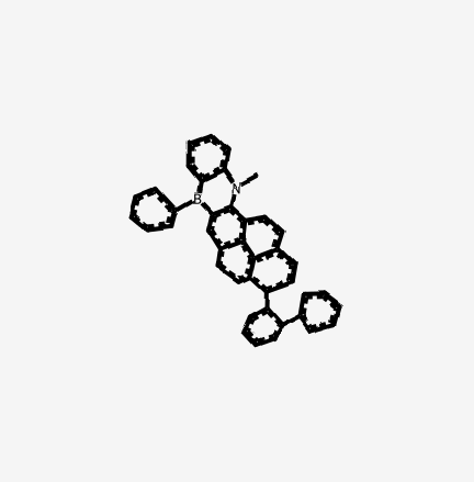 CN1c2ccccc2B(c2ccccc2)c2cc3ccc4c(-c5ccccc5-c5ccccc5)ccc5ccc(c21)c3c54